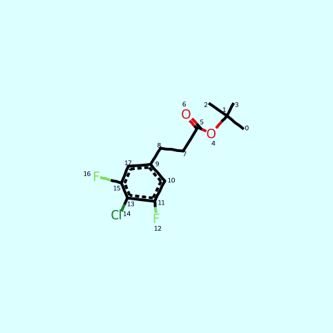 CC(C)(C)OC(=O)CCc1cc(F)c(Cl)c(F)c1